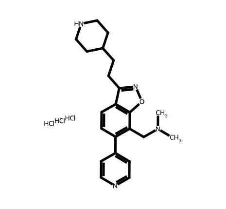 CN(C)Cc1c(-c2ccncc2)ccc2c(CCC3CCNCC3)noc12.Cl.Cl.Cl